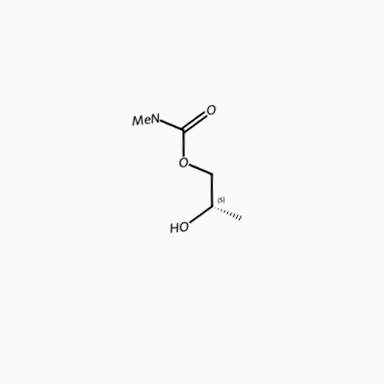 CNC(=O)OC[C@H](C)O